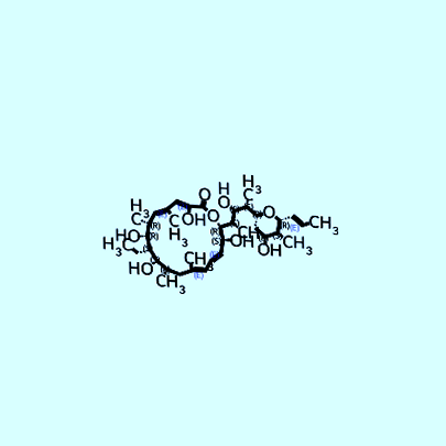 C/C=C/[C@H]1O[C@@H]([C@@H](C)[C@H](O)[C@H](C)[C@H]2OC(=O)/C(O)=C/C(C)=C/[C@@H](C)[C@@H](O)[C@@H](CC)[C@@H](O)[C@H](C)C/C(C)=C/C=C/[C@@H]2O)C[C@@H](O)[C@@H]1C